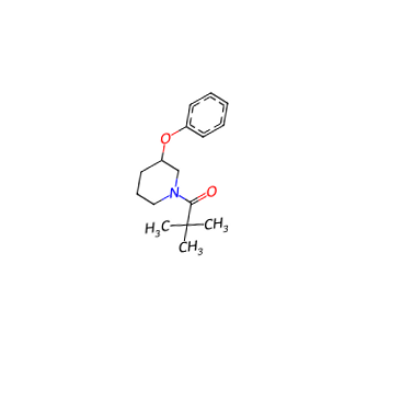 CC(C)(C)C(=O)N1CCCC(Oc2ccccc2)C1